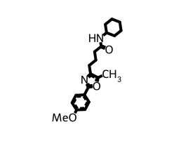 COc1ccc(-c2nc(CCCC(=O)NC3CCCCC3)c(C)o2)cc1